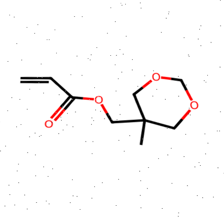 C=CC(=O)OCC1(C)COCOC1